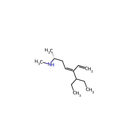 C=C/C(=C\C[C@@H](C)NC)C(CC)CC